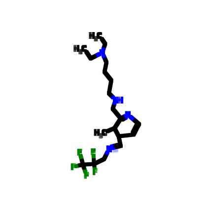 CCN(CC)CCCCNCC1=NC=CC(/C=N/CC(F)(F)C(F)(F)F)C1C